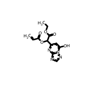 C=CC(=O)OC(C(=O)OCC)c1cc(O)n2ncnc2n1